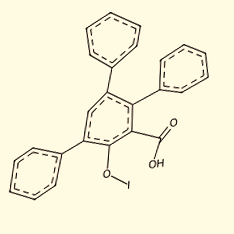 O=C(O)c1c(OI)c(-c2ccccc2)cc(-c2ccccc2)c1-c1ccccc1